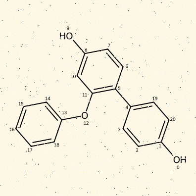 Oc1ccc(-c2ccc(O)cc2Oc2ccccc2)cc1